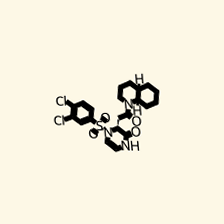 O=C1NC=CN(S(=O)(=O)c2ccc(Cl)c(Cl)c2)[C@@H]1CC(=O)N1CCC[C@@H]2CCCC[C@@H]21